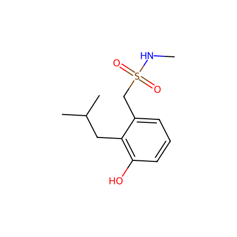 CNS(=O)(=O)Cc1cccc(O)c1CC(C)C